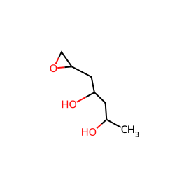 CC(O)CC(O)CC1CO1